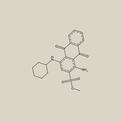 COS(=O)(=O)c1cc(NC2CCCCC2)c2c(c1N)C(=O)c1ccccc1C2=O